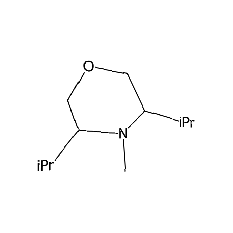 CC(C)C1COCC(C(C)C)N1C